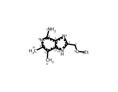 CCOCc1nc2c(N)nc(C)c(C)c2[nH]1